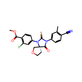 COC(=O)c1ccc(N2C(=S)N(c3ccc(C#N)c(C)c3)C(=O)[C@]23CCOC3)cc1F